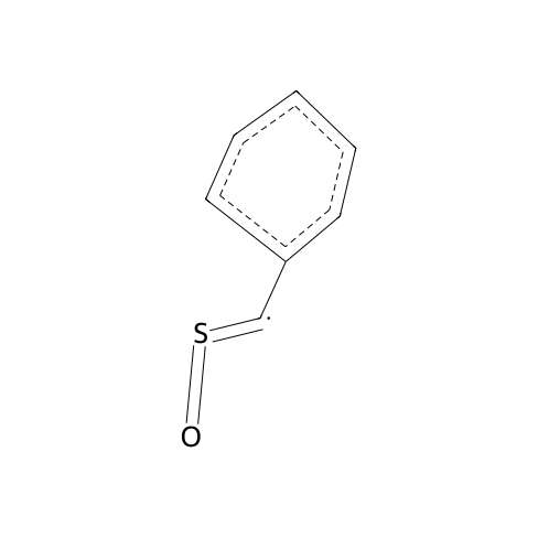 O=S=[C]c1ccccc1